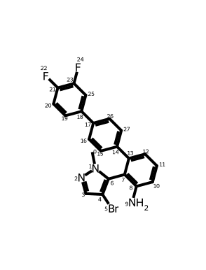 Cn1ncc(Br)c1-c1c(N)cccc1-c1ccc(-c2ccc(F)c(F)c2)cc1